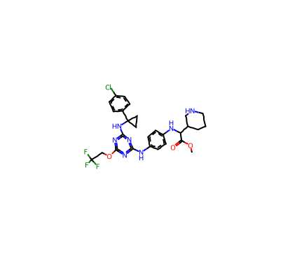 COC(=O)C(Nc1ccc(Nc2nc(NC3(c4ccc(Cl)cc4)CC3)nc(OCC(F)(F)F)n2)cc1)C1CCCNC1